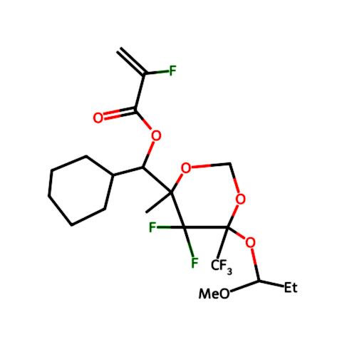 C=C(F)C(=O)OC(C1CCCCC1)C1(C)OCOC(OC(CC)OC)(C(F)(F)F)C1(F)F